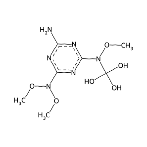 CON(OC)c1nc(N)nc(N(OC)C(O)(O)O)n1